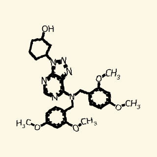 COc1ccc(CN(Cc2ccc(OC)cc2OC)c2ncnc3c2nnn3C2CCCC(O)C2)c(OC)c1